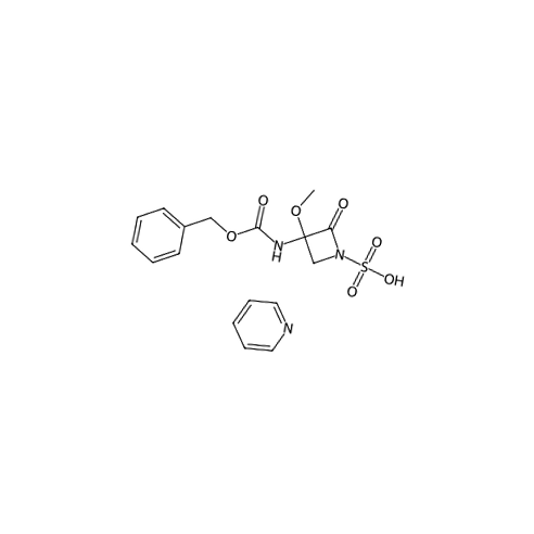 COC1(NC(=O)OCc2ccccc2)CN(S(=O)(=O)O)C1=O.c1ccncc1